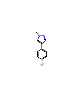 Cn1cc(-c2ccc(Cl)cc2)[c]n1